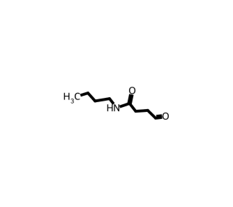 CCCCNC(=O)CCC=O